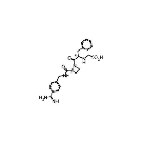 N=C(N)c1ccc(CNC(=O)[C@@H]2CCN2C(=O)[C@@H](Cc2ccccc2)NCC(=O)O)cc1